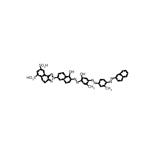 Cc1cc(N=Nc2cc(O)c(N=Nc3ccc4cc(-n5nc6ccc7c(S(=O)(=O)O)cc(S(=O)(=O)O)cc7c6n5)ccc4c3O)cc2C)ccc1N=Nc1ccc2ccccc2c1